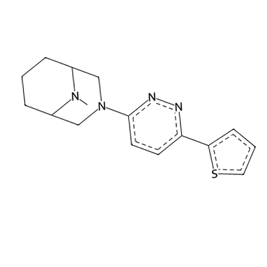 CN1C2CCCC1CN(c1ccc(-c3cccs3)nn1)C2